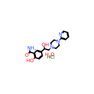 Cl.NC(=O)c1cc(C(O)CN2CCN(c3ccccn3)CC2)ccc1O.O